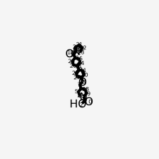 O=C(O)N1CCC(COc2ccc(C3=CCC(C(=O)N4CC=CC4)CC3)cc2)CC1